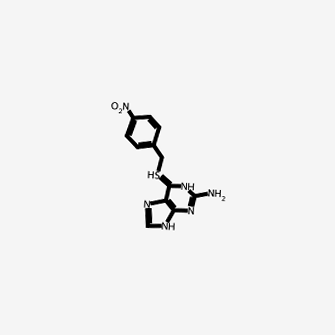 Nc1nc2[nH]cnc2c(=[SH]Cc2ccc([N+](=O)[O-])cc2)[nH]1